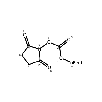 CCCCCOC(=O)ON1C(=O)CCC1=O